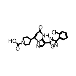 O=C(O)N1CCC(c2cc(=O)[nH]c3c(-c4nc(-c5ccccc5Cl)no4)cnn23)CC1